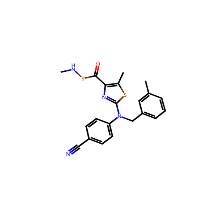 CNSC(=O)c1nc(N(Cc2cccc(C)c2)c2ccc(C#N)cc2)sc1C